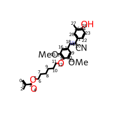 C=C(C)C(=O)OCCCCCCOc1c(OC)cc(/C=C(\C#N)c2ccc(O)c(C)c2)cc1OC